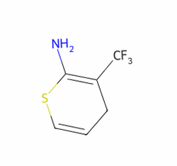 NC1=C(C(F)(F)F)CC=CS1